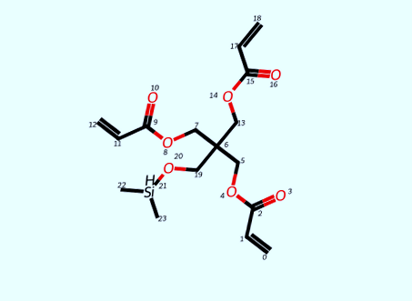 C=CC(=O)OCC(COC(=O)C=C)(COC(=O)C=C)CO[SiH](C)C